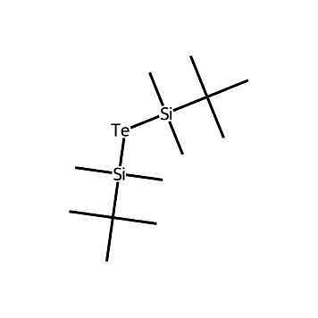 CC(C)(C)[Si](C)(C)[Te][Si](C)(C)C(C)(C)C